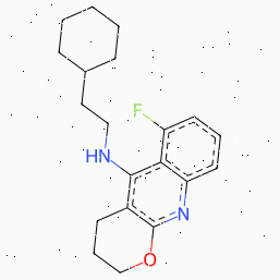 Fc1cccc2nc3c(c(NCCC4CCCCC4)c12)CCCO3